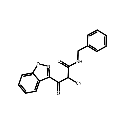 N#CC(C(=O)NCc1ccccc1)C(=O)c1noc2ccccc12